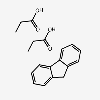 CCC(=O)O.CCC(=O)O.c1ccc2c(c1)Cc1ccccc1-2